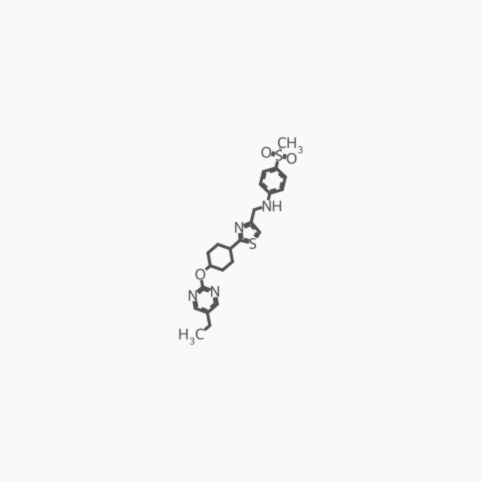 CCc1cnc(OC2CCC(c3nc(CNc4ccc(S(C)(=O)=O)cc4)cs3)CC2)nc1